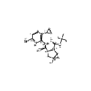 CC(C)(C)OC(=O)N1C2C[C@]2(C)C[C@H]1C(=O)Nc1nc(Br)ccc1C1CC1